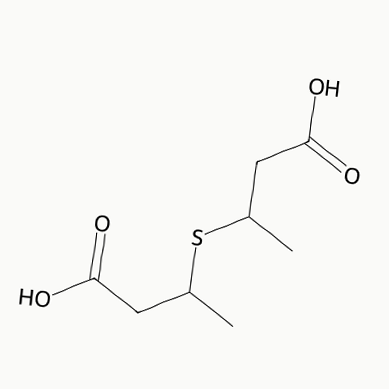 CC(CC(=O)O)SC(C)CC(=O)O